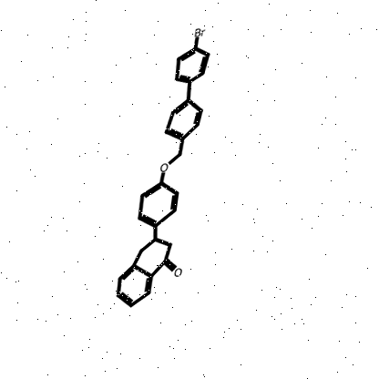 O=C1CC(c2ccc(OCc3ccc(-c4ccc(Br)cc4)cc3)cc2)Cc2ccccc21